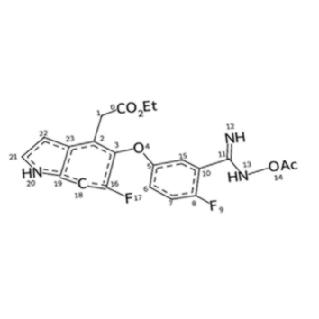 CCOC(=O)Cc1c(Oc2ccc(F)c(C(=N)NOC(C)=O)c2)c(F)cc2[nH]ccc12